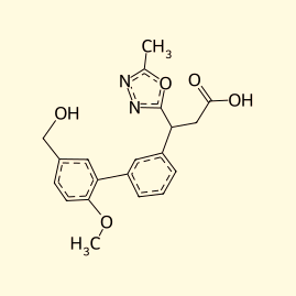 COc1ccc(CO)cc1-c1cccc(C(CC(=O)O)c2nnc(C)o2)c1